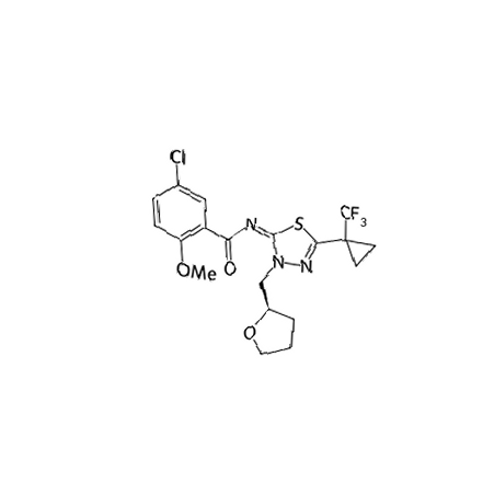 COc1ccc(Cl)cc1C(=O)N=c1sc(C2(C(F)(F)F)CC2)nn1C[C@H]1CCCO1